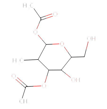 CC(=O)OC1OC(CO)C(O)C(OC(C)=O)C1C